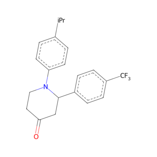 CC(C)c1ccc(N2CCC(=O)CC2c2ccc(C(F)(F)F)cc2)cc1